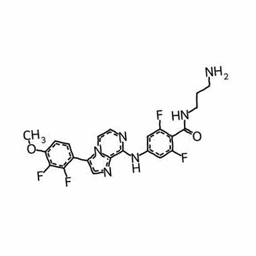 COc1ccc(-c2cnc3c(Nc4cc(F)c(C(=O)NCCCN)c(F)c4)nccn23)c(F)c1F